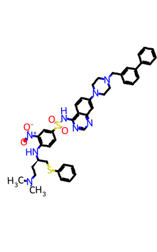 CN(C)CC[C@H](CSc1ccccc1)Nc1ccc(S(=O)(=O)Nc2ncnc3cc(N4CCN(Cc5cccc(-c6ccccc6)c5)CC4)ccc23)cc1[N+](=O)[O-]